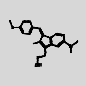 CSc1ccc(C=C2C(C)=C(CCO)c3cc(N(C)C)ccc32)cc1